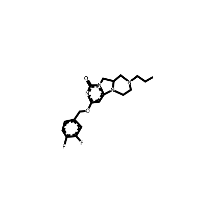 CCCN1CCN2c3cc(OCc4ccc(F)c(F)c4)nc(=O)n3CC2C1